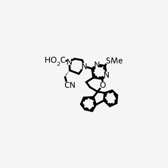 CSc1nc2c(c(N3CCN(C(=O)O)[C@@H](CC#N)C3)n1)CCC1(O2)c2ccccc2-c2ccccc21